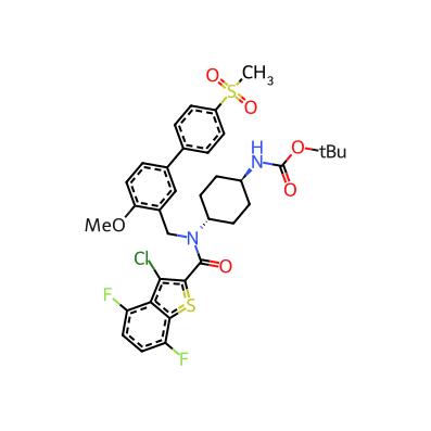 COc1ccc(-c2ccc(S(C)(=O)=O)cc2)cc1CN(C(=O)c1sc2c(F)ccc(F)c2c1Cl)[C@H]1CC[C@H](NC(=O)OC(C)(C)C)CC1